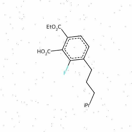 CCOC(=O)c1ccc(CCCC(C)C)c(F)c1C(=O)O